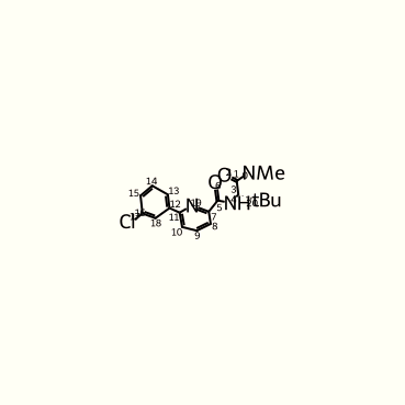 CNC(=O)[C@@H](NC(=O)c1cccc(-c2cccc(Cl)c2)n1)C(C)(C)C